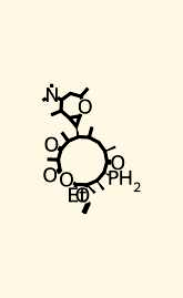 C=CO[C@]1(C)C(CC)OC(=O)C(C)C(=O)C(C)C([C@@H]2C3OC(C)CC(N(C)C)C(C)C32)C(C)C[C@@H](C)C(=O)[C@H](P)[C@H]1C